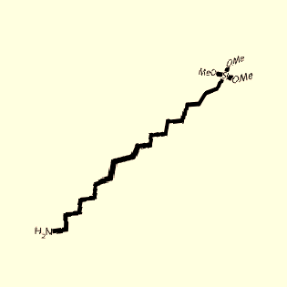 CO[Si](CCCCCCCCCCCCCCCCCCCN)(OC)OC